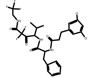 CC(C)C(NC(=O)C(Cc1ccccc1)NC(=O)CCc1cc(Cl)cc(Cl)c1)C(=O)C(F)(F)C(=O)NCC(F)(F)F